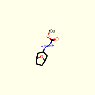 CC(C)(C)OC(=O)NNC1CC2CCC(C1)O2